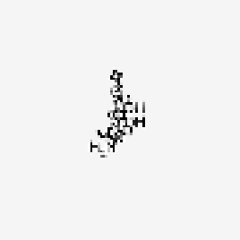 C=Cc1cn([C@@H]2O[C@H](CC(=O)OCC3CCC3)[C@@H](O)[C@H]2O)c(=O)nc1N